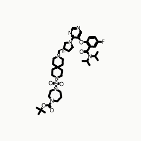 CC(C)N(C(=O)c1cc(F)ccc1Oc1cncnc1N1CC[C@@H](CN2CCC3(CC2)CCN(S(=O)(=O)N2CCCN(C(=O)OC(C)(C)C)CC2)CC3)C1)C(C)C